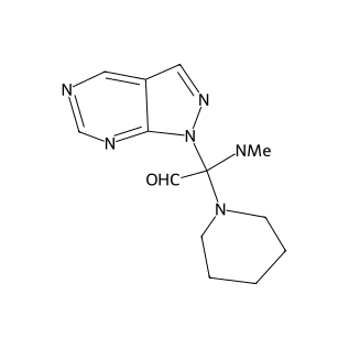 CNC(C=O)(N1CCCCC1)n1ncc2cncnc21